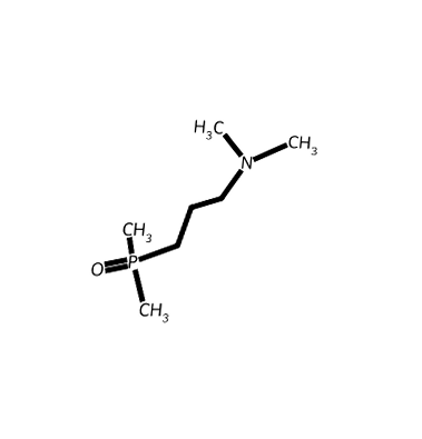 CN(C)CCCP(C)(C)=O